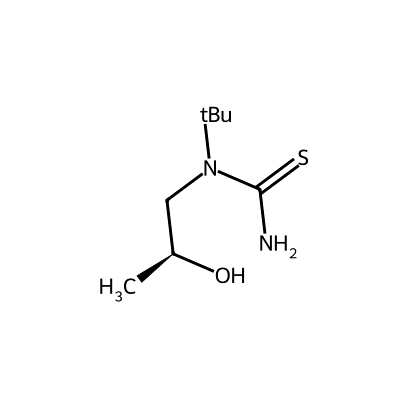 C[C@H](O)CN(C(N)=S)C(C)(C)C